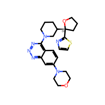 c1csc([C@@]2(C3CCCN(c4nnnc5cc(N6CCOCC6)ccc45)C3)CCCO2)n1